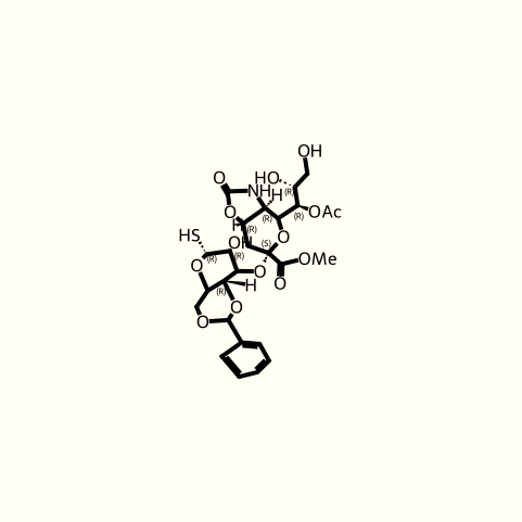 COC(=O)[C@@]1(OC2[C@@H]3OC(c4ccccc4)OCC3O[C@H](S)[C@@H]2O)C[C@H]2OC(=O)N[C@H]2C([C@H](OC(C)=O)[C@H](O)CO)O1